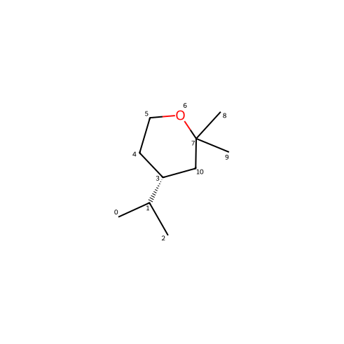 CC(C)[C@@H]1CCOC(C)(C)C1